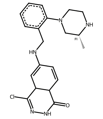 C[C@@H]1CN(c2ccccc2CNC2=CC3C(Cl)=NNC(=O)C3C=C2)CCN1